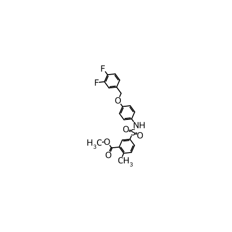 COC(=O)c1cc(S(=O)(=O)Nc2ccc(OCc3ccc(F)c(F)c3)cc2)ccc1C